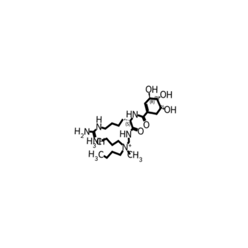 CCCC[N+](C)(CCCC)CNC(=O)[C@H](CCCCNC(=N)N)NC(=O)C1=C[C@@H](O)[C@H](O)[C@H](O)C1